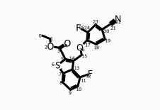 CCOC(=O)c1sc2cccc(F)c2c1COc1ccc(C#N)cc1F